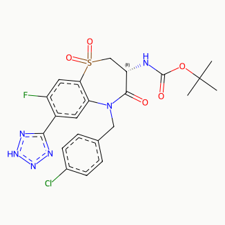 CC(C)(C)OC(=O)N[C@H]1CS(=O)(=O)c2cc(F)c(-c3nn[nH]n3)cc2N(Cc2ccc(Cl)cc2)C1=O